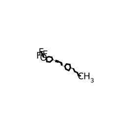 CCCCC[C@H]1CC[C@H](C=CC#C[C@H]2CC[C@H](OC(F)(F)F)CC2)CC1